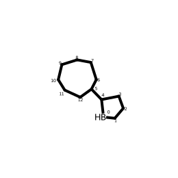 B1CCCC1C1CCCCCCC1